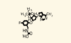 Cc1ncnc2c1ccn2[C@@H]1C[C@H](Oc2ccc(F)cc2CNC(=O)O)[C@H]2OC(C)(C)O[C@H]21